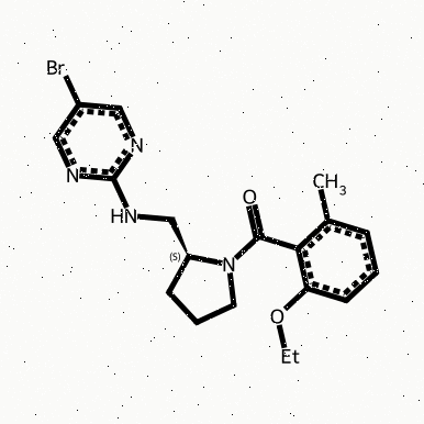 CCOc1cccc(C)c1C(=O)N1CCC[C@H]1CNc1ncc(Br)cn1